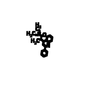 CCN(CC)C(=O)C(C)c1cc(-c2ccccc2)nc2ccccc12